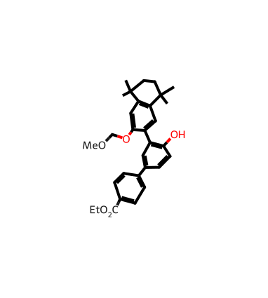 CCOC(=O)c1ccc(-c2ccc(O)c(-c3cc4c(cc3OCOC)C(C)(C)CCC4(C)C)c2)cc1